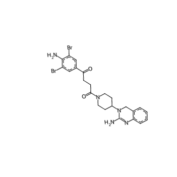 NC1=Nc2ccccc2CN1C1CCN(C(=O)CCC(=O)c2cc(Br)c(N)c(Br)c2)CC1